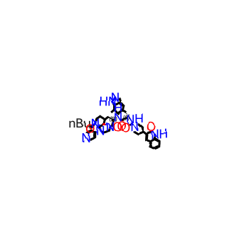 CCCCC(=O)N1CCC(C[C@@H](NC(=O)[C@H](Cc2cc(C)c3[nH]ncc3c2)NC(=O)N2CCC(c3cc4ccccc4[nH]c3=O)CC2)C(=O)N2CCN(c3ccncc3)CC2)CC1